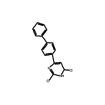 ClC1=NC(c2ccc(-c3ccccc3)cc2)=CC(Cl)N1